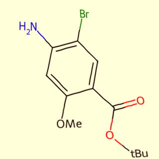 COc1cc(N)c(Br)cc1C(=O)OC(C)(C)C